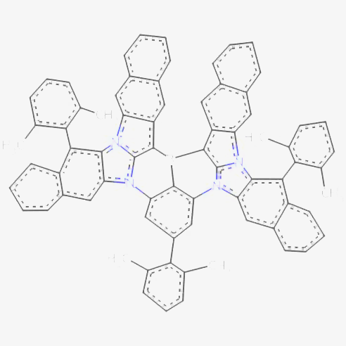 Cc1cccc(C)c1-c1cc2c3c(c1)-n1c4cc5ccccc5c(-c5c(C)cccc5C)c4n4c5cc6ccccc6cc5c(c14)B3c1c3cc4ccccc4cc3n3c4c(-c5c(C)cccc5C)c5ccccc5cc4n-2c13